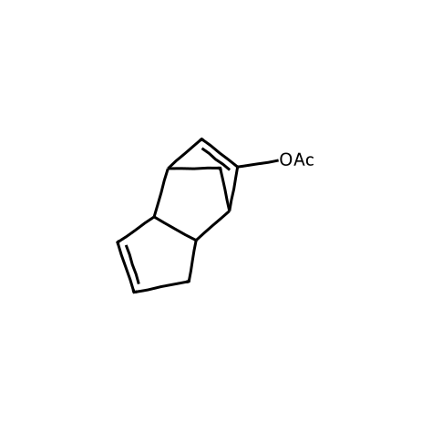 CC(=O)OC1=CC2CC1C1CC=CC21